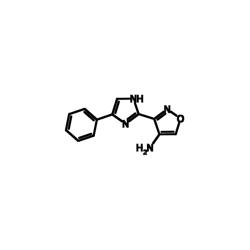 Nc1conc1-c1nc(-c2ccccc2)c[nH]1